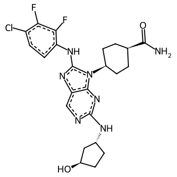 NC(=O)[C@H]1CC[C@@H](n2c(Nc3ccc(Cl)c(F)c3F)nc3cnc(N[C@@H]4CC[C@@H](O)C4)nc32)CC1